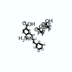 Nc1ccc(C(=O)O)cc1CNCCc1ccccc1.O=C(O)C(F)(F)F.O=C(O)C(F)(F)F